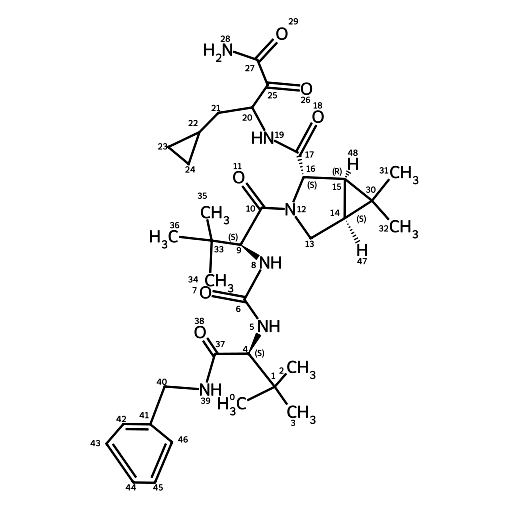 CC(C)(C)[C@H](NC(=O)N[C@H](C(=O)N1C[C@H]2[C@@H]([C@H]1C(=O)NC(CC1CC1)C(=O)C(N)=O)C2(C)C)C(C)(C)C)C(=O)NCc1ccccc1